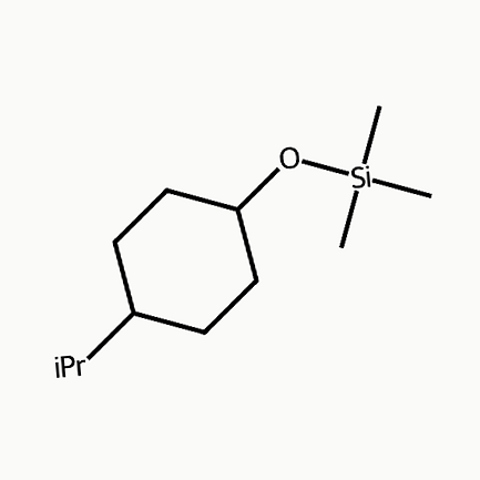 CC(C)C1CCC(O[Si](C)(C)C)CC1